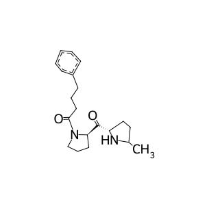 CC1CC[C@@H](C(=O)[C@H]2CCCN2C(=O)CCCc2ccccc2)N1